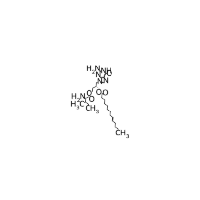 CCCC/C=C/CCCCCCCC(=O)OC[C@H](CCOC(=O)[C@@H](N)C(C)CC)Cn1cnc2c(=O)[nH]c(N)nc21